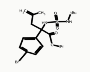 C=C(C)CC(NS(=O)(=O)NC(C)(C)C)(C(=O)OC(C)C)c1ccc(Br)cc1